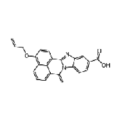 C=CCOc1ccc2c3c1cccc3c(=C)n1c3ccc(C(=O)O)cc3nc21